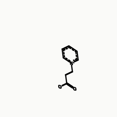 O=C([O-])CC[n+]1ccccc1